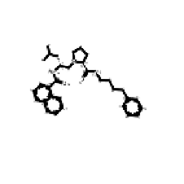 CC(C)C[C@H](CN1CCC[C@H]1C(=O)NCCCCc1ccccc1)NC(=O)c1cccc2ccccc12